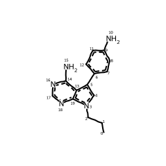 CCCn1cc(-c2ccc(N)cc2)c2c(N)ncnc21